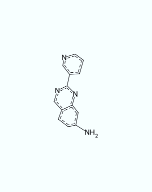 Nc1ccc2cnc(-c3cccnc3)nc2c1